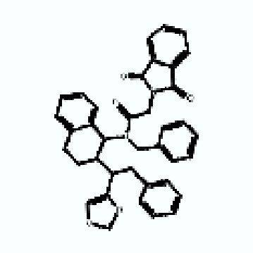 O=C1c2ccccc2C(=O)N1CC(=O)N(Cc1ccccc1)C1c2ccccc2CCC1C(Cc1ccccc1)C1=COCO1